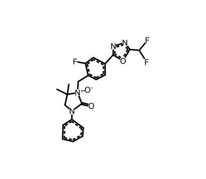 CC1(C)CN(c2ccccc2)C(=O)[N+]1([O-])Cc1ccc(-c2nnc(C(F)F)o2)cc1F